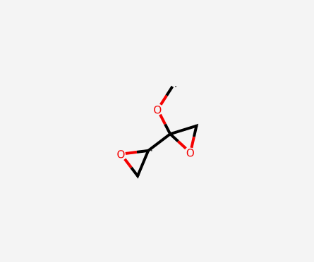 [CH2]OC1([C]2CO2)CO1